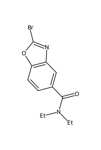 CCN(CC)C(=O)c1ccc2oc(Br)nc2c1